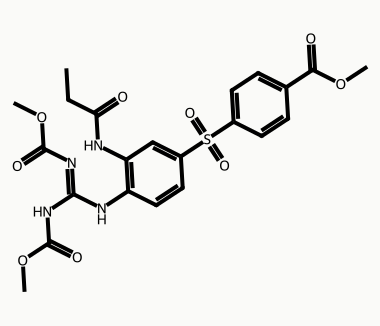 CCC(=O)Nc1cc(S(=O)(=O)c2ccc(C(=O)OC)cc2)ccc1NC(=NC(=O)OC)NC(=O)OC